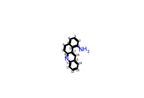 Nc1cccc2ccc3nc4ccccc4cc3c12